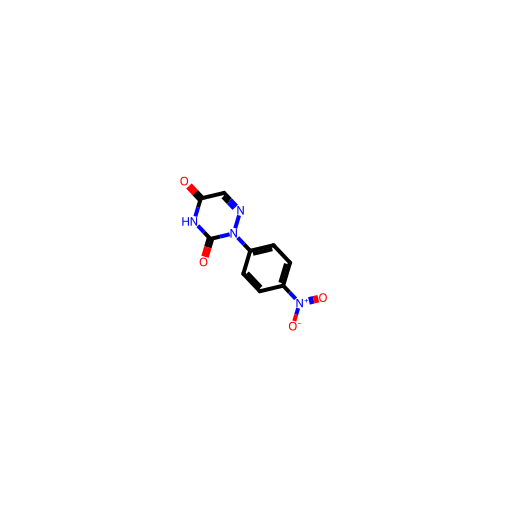 O=c1cnn(-c2ccc([N+](=O)[O-])cc2)c(=O)[nH]1